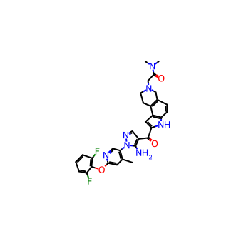 Cc1cc(Oc2c(F)cccc2F)ncc1-n1ncc(C(=O)c2cc3c4c(ccc3[nH]2)CN(CC(=O)N(C)C)CC4)c1N